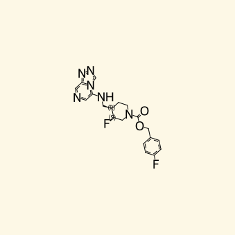 O=C(OCc1ccc(F)cc1)N1CC[C@H](CNc2cncc3nncn23)[C@H](F)C1